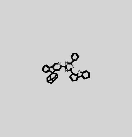 c1ccc(-c2nc(-c3cc4c(cn3)-c3ccccc3C43C4CC5CC(C4)CC3C5)nc(-c3cccc4c3sc3ccccc34)n2)cc1